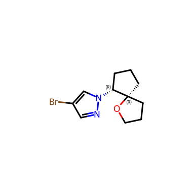 Brc1cnn([C@@H]2CCC[C@@]23CCCO3)c1